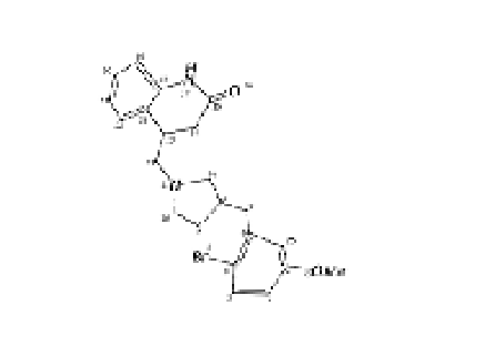 COc1ccc(Br)c(CC2CCN(CC3CC(=O)Nc4ccccc43)C2)c1